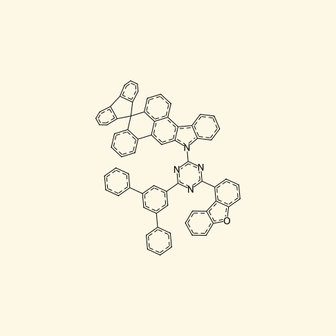 c1ccc(-c2cc(-c3ccccc3)cc(-c3nc(-c4cccc5oc6ccccc6c45)nc(-n4c5ccccc5c5c6cccc7c6c(cc54)-c4ccccc4C74c5ccccc5-c5ccccc54)n3)c2)cc1